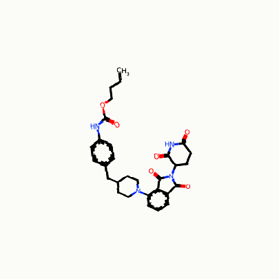 CCCCOC(=O)Nc1ccc(CC2CCN(c3cccc4c3C(=O)N(C3CCC(=O)NC3=O)C4=O)CC2)cc1